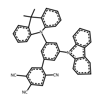 CC1(C)c2ccccc2N(c2cc(-c3cc(C#N)c(C#N)cc3C#N)cc(-n3c4ccccc4c4ccccc43)c2)c2ccccc21